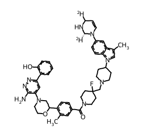 [2H]C1C=CN(c2ccc3c(c2)c(C)cn3C2CCN(CC3(F)CCN(C(=O)c4ccc(C5CN(c6cc(-c7ccccc7O)nnc6N)CCO5)c(C)c4)CC3)CC2)[C@H]([2H])N1